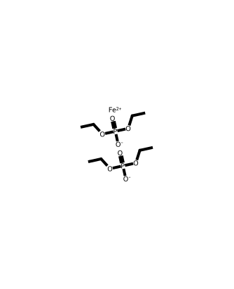 CCOP(=O)([O-])OCC.CCOP(=O)([O-])OCC.[Fe+2]